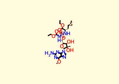 CCOC(=O)NP(=O)(N[C@@H](CCSC)C(=O)OCC)OC[C@H]1O[C@@H](n2cnc3c(OC)nc(N)nc32)[C@@](C)(O)C1O